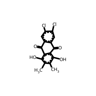 Cc1c(C)c(O)c2c(c1O)C(=O)c1cc(Cl)c(Cl)cc1C2=O